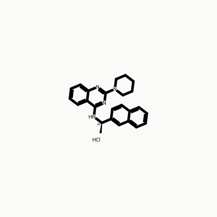 C[C@@H](Nc1nc(N2CCCCC2)nc2ccccc12)c1ccc2ccccc2c1.Cl